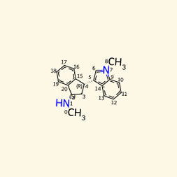 CN[C@H]1C[C@@H](c2cn(C)c3ccccc23)c2ccccc21